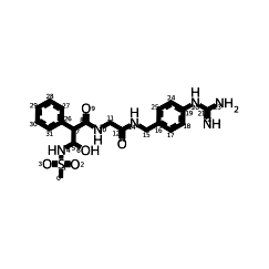 CS(=O)(=O)NC(O)C(C(=O)NCC(=O)NCc1ccc(NC(=N)N)cc1)c1ccccc1